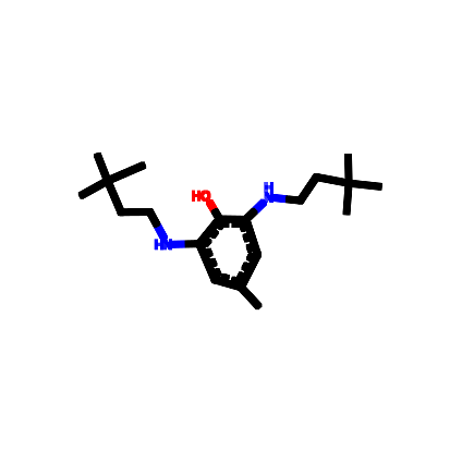 Cc1cc(NCCC(C)(C)C)c(O)c(NCCC(C)(C)C)c1